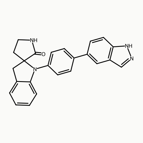 O=C1NCCC12Cc1ccccc1N2c1ccc(-c2ccc3[nH]ncc3c2)cc1